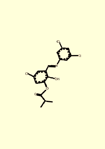 CC(C)C(=O)Oc1cc(Cl)cc(C=Nc2cc(Cl)cc(Cl)c2)c1O